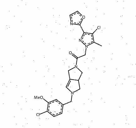 COc1cc(CN2C=C3CN(C(=O)Cn4nc(-c5ncco5)c(Cl)c4C)CC3C2)ccc1Cl